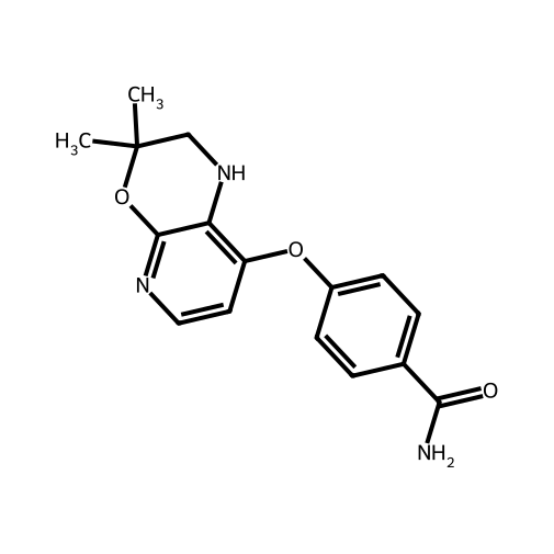 CC1(C)CNc2c(Oc3ccc(C(N)=O)cc3)ccnc2O1